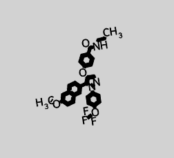 CCCNC(=O)c1ccc(Oc2cnn(-c3ccc(OC(F)(F)F)cc3)c2-c2ccc3cc(OC)ccc3c2)cc1